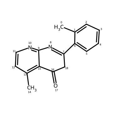 Cc1ccccc1C1=Nc2nccc(C)c2C(=O)C1